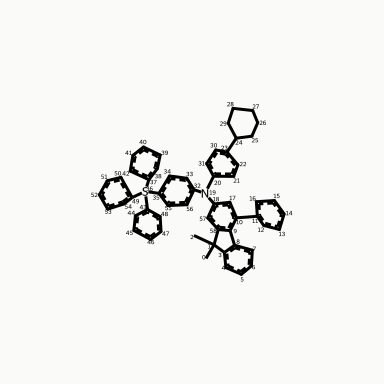 CC1(C)c2ccccc2-c2c(-c3ccccc3)cc(N(c3ccc(C4CCCCC4)cc3)c3ccc(S(c4ccccc4)(c4ccccc4)c4ccccc4)cc3)cc21